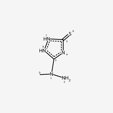 CN(N)c1nc(=S)[nH][nH]1